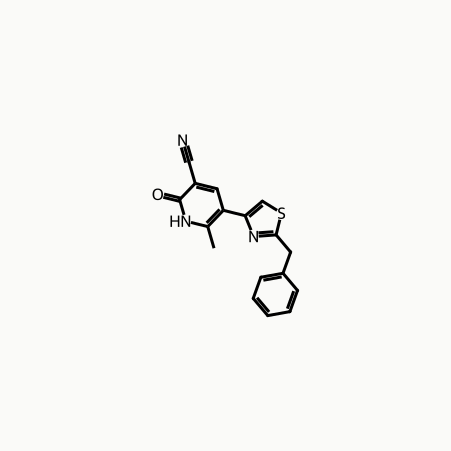 Cc1[nH]c(=O)c(C#N)cc1-c1csc(Cc2ccccc2)n1